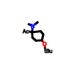 CC(=O)C1(N(C)C)CCC(OC(C)(C)C)CC1